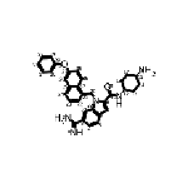 N=C(N)c1ccc2cc(C(=O)N[C@H]3CC[C@H](N)CC3)n(Cc3cccc4cc(Oc5ccccc5)ccc34)c2c1